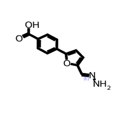 N/N=C/c1ccc(-c2ccc(C(=O)O)cc2)o1